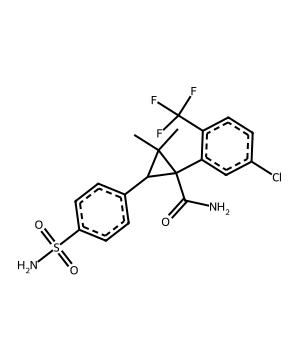 CC1(C)C(c2ccc(S(N)(=O)=O)cc2)C1(C(N)=O)c1cc(Cl)ccc1C(F)(F)F